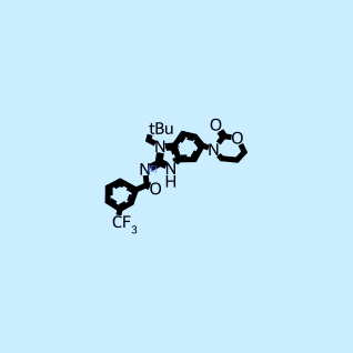 CC(C)(C)Cn1/c(=N/C(=O)c2cccc(C(F)(F)F)c2)[nH]c2cc(N3CCCOC3=O)ccc21